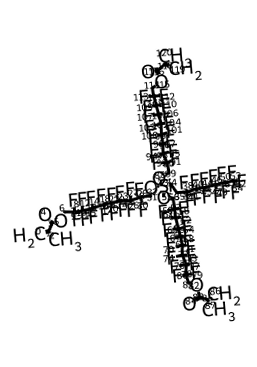 C=C(C)C(=O)OCC(F)(F)C(F)(F)C(F)(F)C(F)(F)C(F)(F)C(F)(F)C(F)(F)C(F)(F)CO[Si](CCC(F)(F)C(F)(F)C(F)(F)C(F)(F)C(F)(F)C(F)(F)F)(OCC(F)(F)C(F)(F)C(F)(F)C(F)(F)C(F)(F)C(F)(F)C(F)(F)C(F)(F)COC(=O)C(=C)C)OCC(F)(F)C(F)(F)C(F)(F)C(F)(F)C(F)(F)C(F)(F)C(F)(F)C(F)(F)COC(=O)C(=C)C